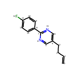 C=CCCc1cnc(-c2ccc(F)cc2)nc1